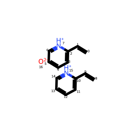 C=Cc1cccc[nH+]1.C=Cc1cccc[nH+]1.[O-2]